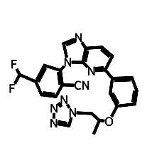 CC(Cn1cnnn1)Oc1cccc(-c2ccc3ncn(-c4cc(C(F)F)ccc4C#N)c3n2)c1